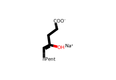 CCCCCC=C(O)CCC(=O)[O-].[Na+]